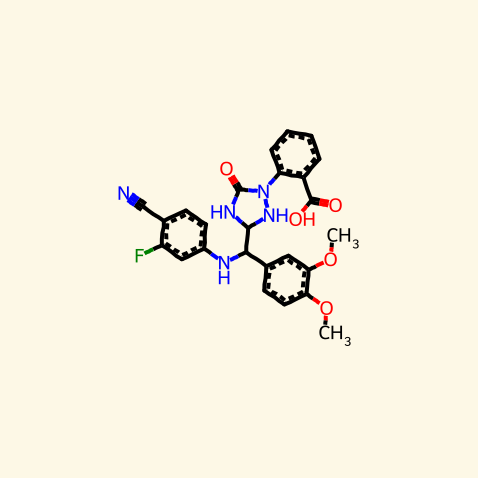 COc1ccc(C(Nc2ccc(C#N)c(F)c2)C2NC(=O)N(c3ccccc3C(=O)O)N2)cc1OC